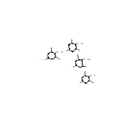 COc1c(C)cc(P)cc1C.COc1c(C)cc(P)cc1C.COc1c(C)cc(P)cc1C.COc1c(C)cc(P)cc1C.[Br-].[Br-].[Co+2]